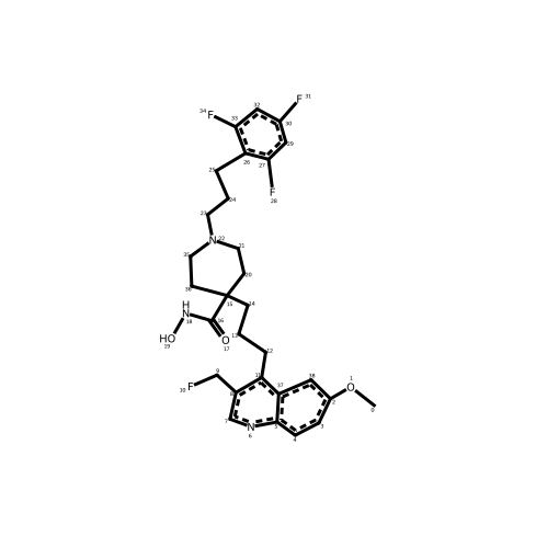 COc1ccc2ncc(CF)c(CCCC3(C(=O)NO)CCN(CCCc4c(F)cc(F)cc4F)CC3)c2c1